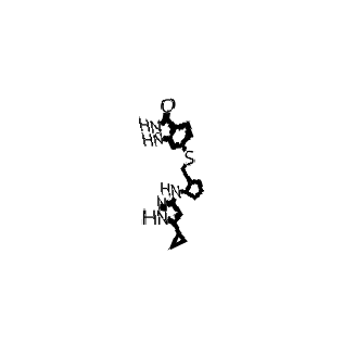 O=c1[nH][nH]c2cc(SCC3CCCC3Nc3cc(C4CC4)[nH]n3)ccc12